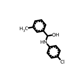 Cc1cccc(C(O)Nc2ccc(Cl)cc2)c1